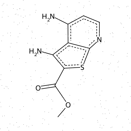 COC(=O)c1sc2nccc(N)c2c1N